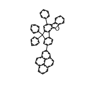 c1ccc(-c2cc3c(c4oc5ccccc5c24)-c2ccc(-c4cc5ccc6cccc7ccc(c4)c5c67)cc2C3(c2ccccc2)c2ccccc2)cc1